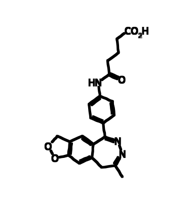 CC1=NN=C(c2ccc(NC(=O)CCCC(=O)O)cc2)c2cc3c(cc2C1)OOC3